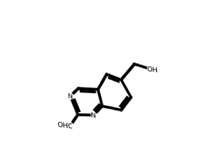 O=Cc1ncc2cc(CO)ccc2n1